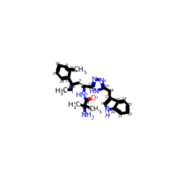 C/C=C(/C[C@@H](NC(=O)C(C)(C)N)c1nnc(Cc2c[nH]c3ccccc23)[nH]1)c1ccccc1C